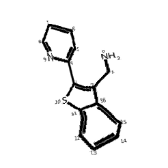 NCc1c(-c2ccccn2)sc2ccccc12